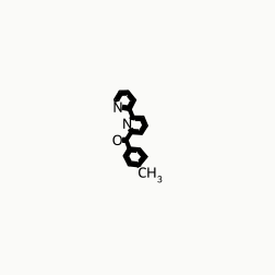 Cc1ccc(C(=O)c2cccc(-c3ccccn3)n2)cc1